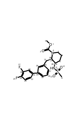 COC(=O)N1CCC[C@@H](NS(C)(=O)=O)[C@H]1Cc1cccc(-c2ccc(F)c(F)c2)c1